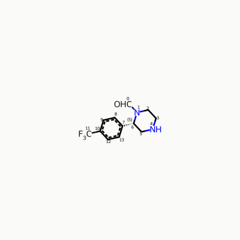 O=CN1CCNC[C@@H]1c1ccc(C(F)(F)F)cc1